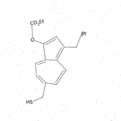 CCOC(=O)Oc1cc(CC(C)C)c2ccc(CS)ccc1-2